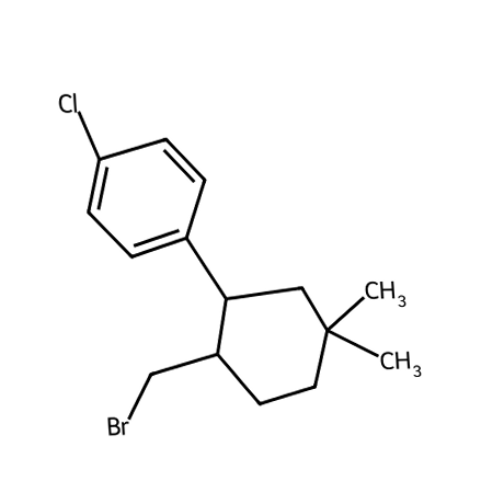 CC1(C)CCC(CBr)C(c2ccc(Cl)cc2)C1